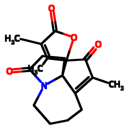 CC1=C(C)C2(OC1=O)C(=O)C(C)=C1CCCCN3C(=O)CCC132